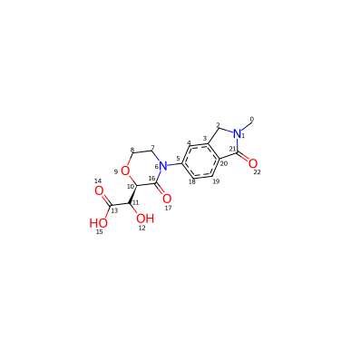 CN1Cc2cc(N3CCO[C@H](C(O)C(=O)O)C3=O)ccc2C1=O